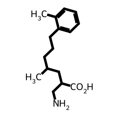 Cc1ccccc1CCCC(C)CC(CN)C(=O)O